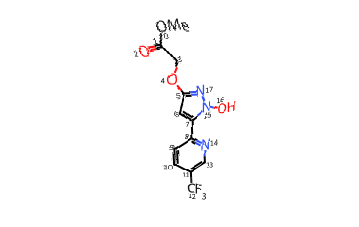 COC(=O)COc1cc(-c2ccc(C(F)(F)F)cn2)n(O)n1